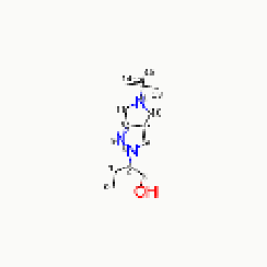 CCC(CO)n1cc2c(n1)CN(C(C)(C)C)C2